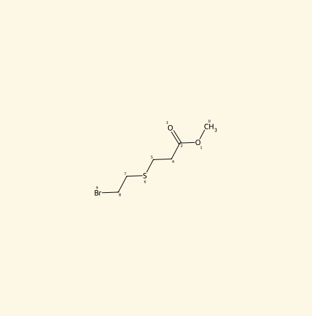 COC(=O)CCSCCBr